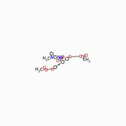 C=CC(=O)OCCCOc1ccc(C#Cc2ccc(-c3ccc(OCCCCCCOCC4(CC)COC4)cc3)c3c2C(=O)N(Nc2ccc4c(c2)c2ccccc2n4CC)C3=O)cc1